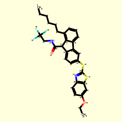 CCCCCCc1cccc2c1C(C(=O)NCC(F)(F)F)c1ccc(Sc3nc4ccc(OCC)cc4s3)cc1-2